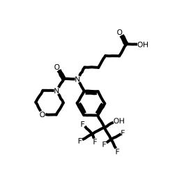 O=C(O)CCCCN(C(=O)N1CCOCC1)c1ccc(C(O)(C(F)(F)F)C(F)(F)F)cc1